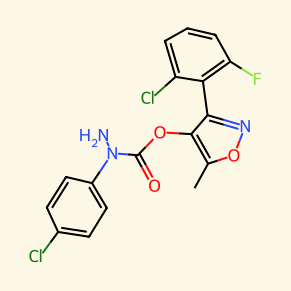 Cc1onc(-c2c(F)cccc2Cl)c1OC(=O)N(N)c1ccc(Cl)cc1